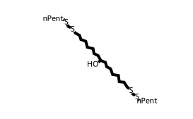 CCCCCSCSCCCCCCCCC(O)CCCCCCCCSCSCCCCC